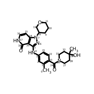 Cc1cc(Nc2nn(C3CCCOC3)c3cc[nH]c(=O)c23)ccc1C(=O)N1CCC(C)(O)CC1